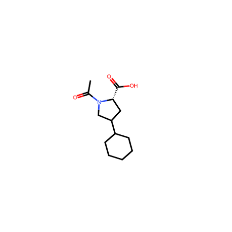 CC(=O)N1CC(C2CCCCC2)C[C@H]1C(=O)O